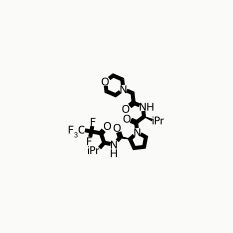 CC(C)C(NC(=O)[C@@H]1CCCN1C(=O)[C@@H](NC(=O)CN1CCOCC1)C(C)C)C(=O)C(F)(F)C(F)(F)F